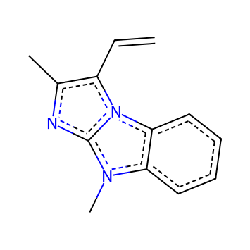 C=Cc1c(C)nc2n(C)c3ccccc3n12